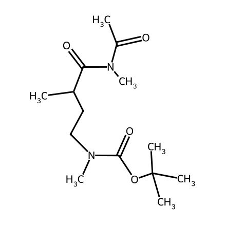 CC(=O)N(C)C(=O)C(C)CCN(C)C(=O)OC(C)(C)C